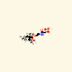 CC(C)(C)C(C)(C(=O)OCCNC(=O)CS(=O)(=O)O)C(C)(C)C